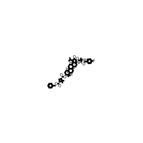 CC(C)C1=C2[C@H]3CC[C@@H]4[C@@]5(C)CC[C@H](OC(=O)[C@H]6C[C@@H](C(=O)OCc7ccccc7)C6(C)C)C(C)(C)[C@@H]5CC[C@@]4(C)[C@]3(C)CC[C@@]2(NC(=O)C(C)(C)NC(=O)c2ccc(F)cc2)CC1=O